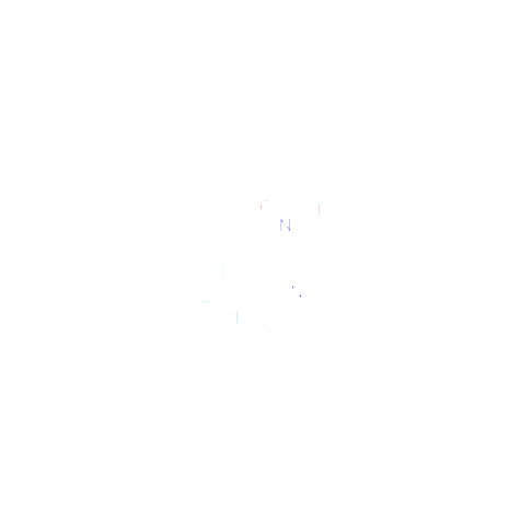 O=[N+](O)c1cnc(Cl)c(C(F)(F)F)c1